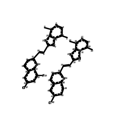 Cc1ncc(C)n2nc(C=Cc3ccc4cc(Cl)cc(F)c4n3)nc12.Cc1ncc(C)n2nc(C=Cc3ccc4cc(Cl)ccc4n3)nc12